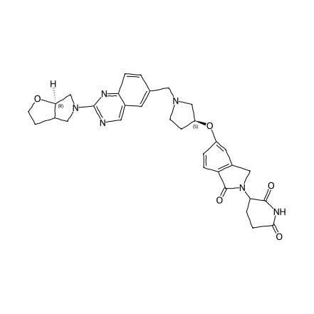 O=C1CCC(N2Cc3cc(O[C@H]4CCN(Cc5ccc6nc(N7CC8CCO[C@H]8C7)ncc6c5)C4)ccc3C2=O)C(=O)N1